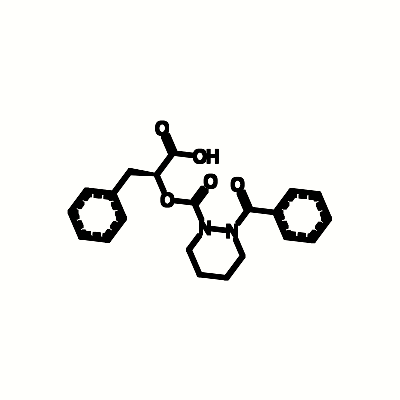 O=C(O)[C@H](Cc1ccccc1)OC(=O)N1CCCCN1C(=O)c1ccccc1